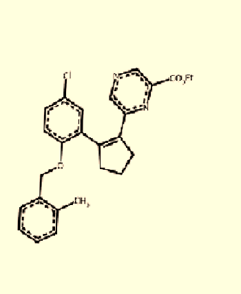 CCOC(=O)c1cncc(C2=C(c3cc(Cl)ccc3OCc3ccccc3C)CCC2)n1